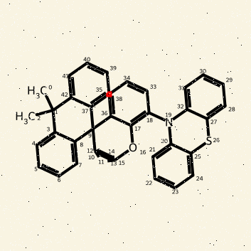 CC1(C)c2ccccc2C2(c3ccccc3Oc3c(N4c5ccccc5Sc5ccccc54)cccc32)c2ccccc21